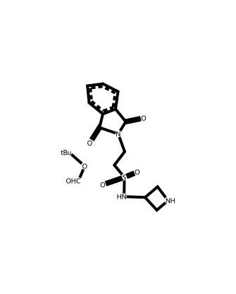 CC(C)(C)OC=O.O=C1c2ccccc2C(=O)N1CCS(=O)(=O)NC1CNC1